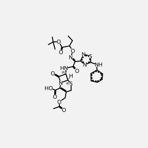 CCC(ON=C(C(=O)N[C@@H]1C(=O)N2C(C(=O)O)=C(COC(C)=O)CS[C@H]12)c1nsc(Nc2ccccc2)n1)C(=O)OC(C)(C)C